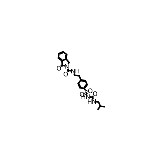 CC(C)CNC(=O)NS(=O)(=O)c1ccc(CCNC(=O)N2Cc3ccccc3C2=O)cc1